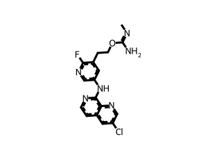 C/N=C(/N)OCCc1cc(Nc2nccc3cc(Cl)cnc23)cnc1F